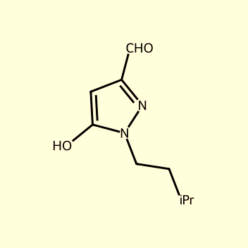 CC(C)CCn1nc(C=O)cc1O